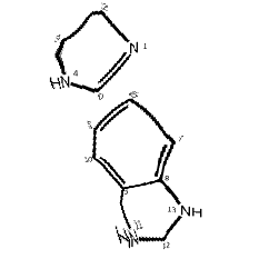 C1=NCCN1.c1ccc2c(c1)NCN2